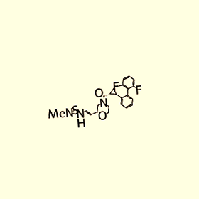 CNSN/C=C/C1CN(C(=O)[C@@H]2C[C@H]2c2ccccc2-c2c(F)cccc2F)CCO1